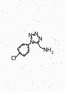 NCc1nnnn1-c1ccc(Cl)cc1